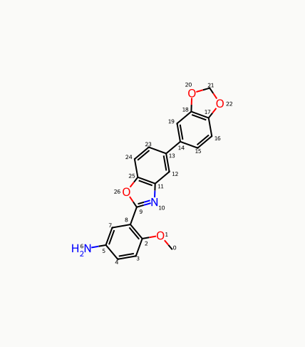 COc1ccc(N)cc1-c1nc2cc(-c3ccc4c(c3)OCO4)ccc2o1